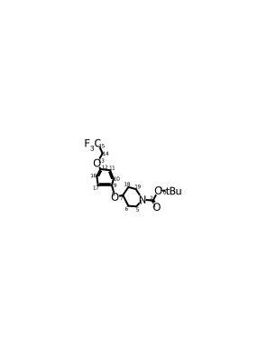 CC(C)(C)OC(=O)N1CCC(Oc2ccc(OCC(F)(F)F)cc2)CC1